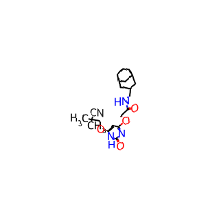 CC(C)(C#N)COc1cc(OCC(=O)NCC2CC3CCCC(C3)C2)nc(=O)[nH]1